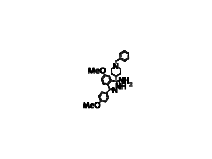 COc1ccc(C2=NNC(N)(C3CCN(Cc4ccccc4)CC3)c3cc(OC)ccc32)cc1